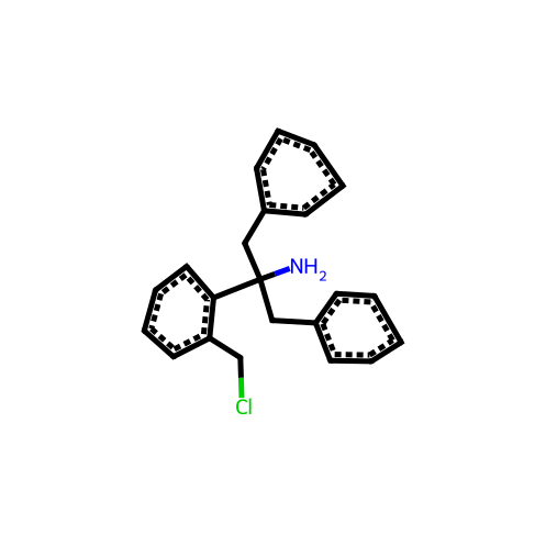 NC(Cc1ccccc1)(Cc1ccccc1)c1ccccc1CCl